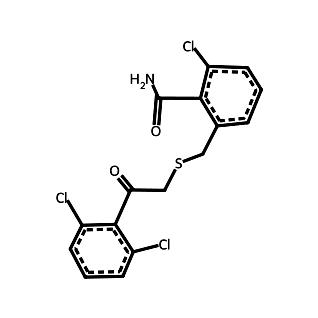 NC(=O)c1c(Cl)cccc1CSCC(=O)c1c(Cl)cccc1Cl